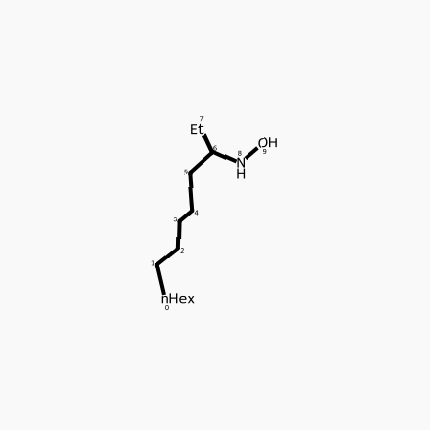 CCCCCCCCCCCC(CC)NO